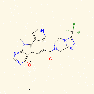 COc1ncnc2c1c(/C=C/C(=O)N1CCn3c(nnc3C(F)(F)F)C1)c(-c1ccncc1)n2C